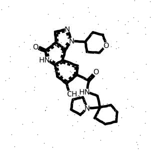 Cc1cc2[nH]c(=O)c3cnn(C4CCOCC4)c3c2cc1C(=O)NCC1(N2CCCC2)CCCCC1